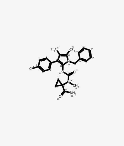 Cc1c(-c2ccc(Cl)cc2)c(OC(=O)N(C)C2(C(N)=O)CC2)n(Cc2ccccc2)c1C(F)(F)F